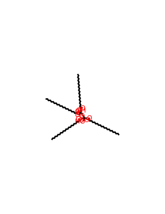 CCCCCCCCCCCCCCCCCCCCCC(=O)OCC(CO)(COCC(CO)(COC(=O)CCCCCCCCCCCCCCCCCCCCC)COC(=O)CCCCCCCCCCCCCCCCCCCCC)COC(=O)CCCCCCCCCCCCCCCCCCCCC